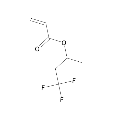 C=CC(=O)OC(C)CC(F)(F)F